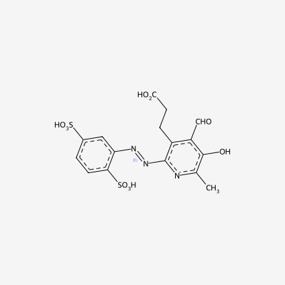 Cc1nc(/N=N/c2cc(S(=O)(=O)O)ccc2S(=O)(=O)O)c(CCC(=O)O)c(C=O)c1O